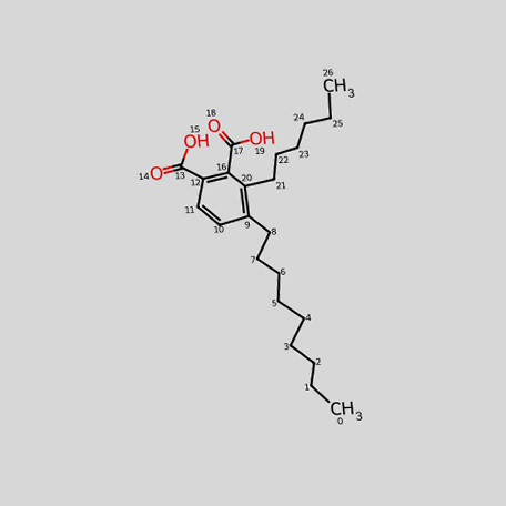 CCCCCCCCCc1ccc(C(=O)O)c(C(=O)O)c1CCCCCC